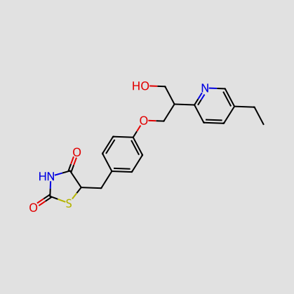 CCc1ccc(C(CO)COc2ccc(CC3SC(=O)NC3=O)cc2)nc1